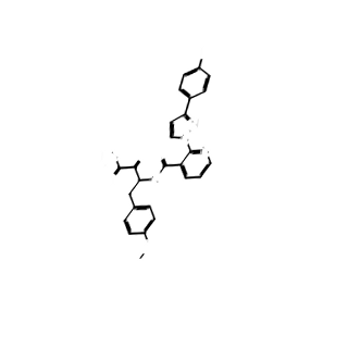 COc1ccc(CC(NC(=O)c2cccnc2-n2ccc(-c3ccc(F)cc3)n2)C(=O)C(N)=O)cc1